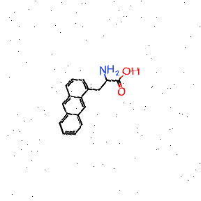 NC(Cc1cccc2cc3ccccc3cc12)C(=O)O